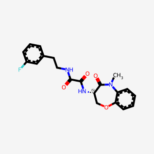 CN1C(=O)[C@@H](NC(=O)C(=O)NCCc2cccc(F)c2)COc2ccccc21